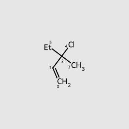 C=CC(C)(Cl)CC